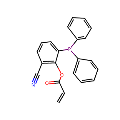 C=CC(=O)Oc1c(C#N)cccc1P(c1ccccc1)c1ccccc1